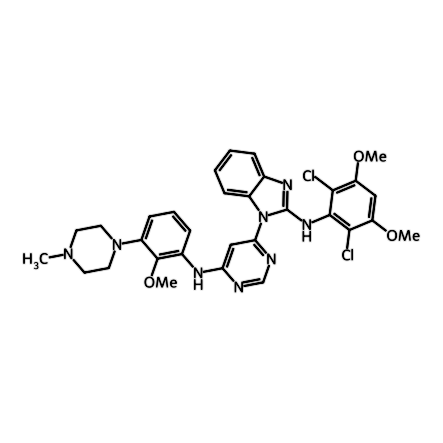 COc1cc(OC)c(Cl)c(Nc2nc3ccccc3n2-c2cc(Nc3cccc(N4CCN(C)CC4)c3OC)ncn2)c1Cl